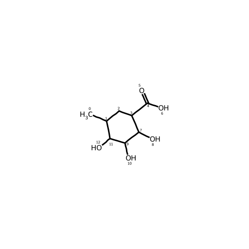 CC1CC(C(=O)O)C(O)C(O)C1O